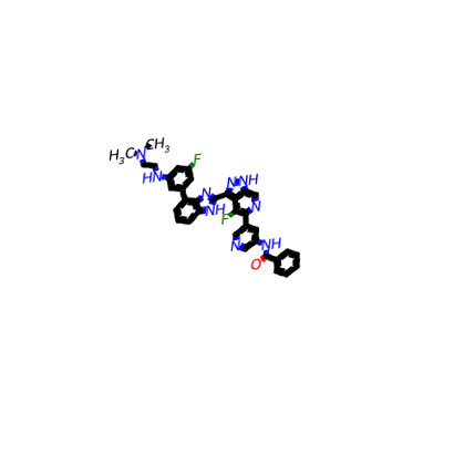 CN(C)CCNc1cc(F)cc(-c2cccc3[nH]c(-c4n[nH]c5cnc(-c6cncc(NC(=O)c7ccccc7)c6)c(F)c45)nc23)c1